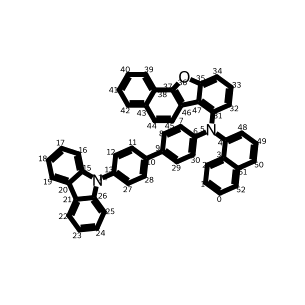 c1ccc2c(N(c3ccc(-c4ccc(-n5c6ccccc6c6ccccc65)cc4)cc3)c3cccc4oc5c6ccccc6ccc5c34)cccc2c1